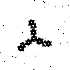 c1ccc2c(c1)CN(c1ccc(-c3nc(-c4ccc(N5COc6ccccc6C5)cc4)nc(-c4ccc(N5COc6ccccc6C5)cc4)n3)cc1)CO2